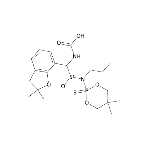 CCCN([S+]([O-])C(NC(=O)O)c1cccc2c1OC(C)(C)C2)P1(=S)OCC(C)(C)CO1